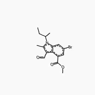 CCC(C)n1c(C)c(C=O)c2c(C(=O)OC)cc(Br)cc21